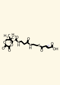 CC1(C)COC(=O)C(=O)O[C@H]1C(=O)NCCC(=O)NCCSC(=O)/C=C/C(=O)O